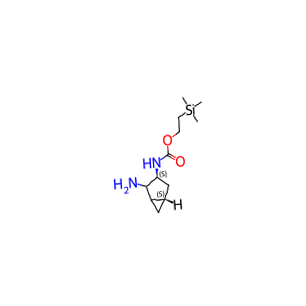 C[Si](C)(C)CCOC(=O)N[C@H]1C[C@@H]2CC2C1N